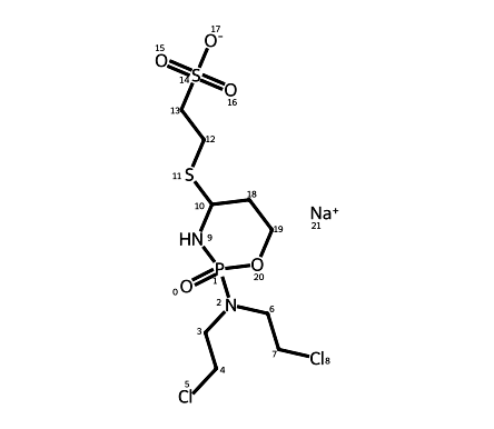 O=P1(N(CCCl)CCCl)NC(SCCS(=O)(=O)[O-])CCO1.[Na+]